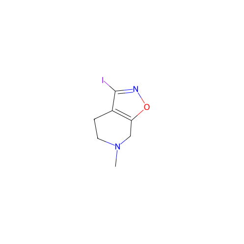 CN1CCc2c(I)noc2C1